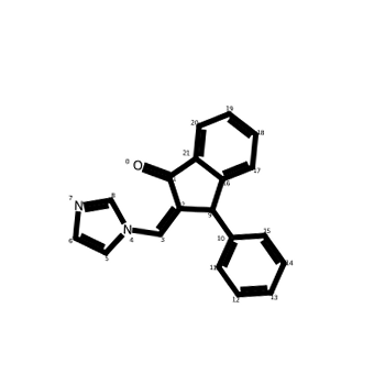 O=C1C(=Cn2ccnc2)C(c2ccccc2)c2ccccc21